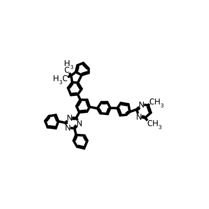 Cc1cc(C)nc(-c2ccc(-c3ccc(-c4cc(-c5ccc6c(c5)-c5ccccc5C6(C)C)cc(-c5nc(-c6ccccc6)nc(-c6ccccc6)n5)c4)cc3)cc2)n1